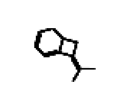 CC(C)=C1CC2CC=CC=C12